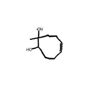 CC1(O)CCC=CCCC1O